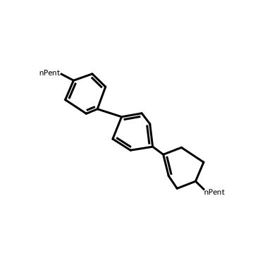 CCCCCc1ccc(-c2ccc(C3=CCC(CCCCC)CC3)cc2)cc1